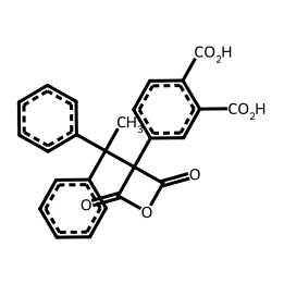 CC(c1ccccc1)(c1ccccc1)C1(c2ccc(C(=O)O)c(C(=O)O)c2)C(=O)OC1=O